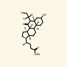 [2H]CC([2H])([2H])C1C(=O)[C@@H]2[C@H](CC[C@]3(C)[C@@H]([C@H](C)CCC(=O)OC)CC[C@@H]23)[C@@]2(C)CCC(O)C[C@@H]12